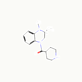 CC(=O)N1c2ccccc2N(C(=O)C2CCNCC2)C[C@@H]1C